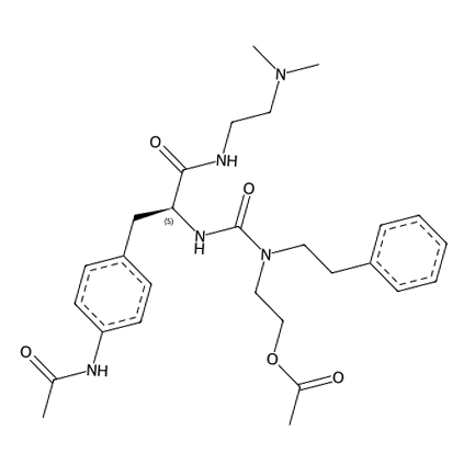 CC(=O)Nc1ccc(C[C@H](NC(=O)N(CCOC(C)=O)CCc2ccccc2)C(=O)NCCN(C)C)cc1